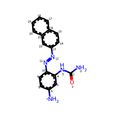 NC(=O)Nc1cc(N)ccc1N=Nc1ccc2ccccc2c1